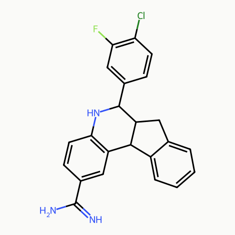 N=C(N)c1ccc2c(c1)C1c3ccccc3CC1C(c1ccc(Cl)c(F)c1)N2